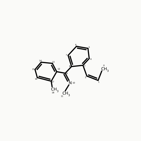 C/C=C\c1ccccc1/C(=N/C)c1ccccc1C